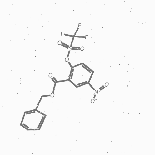 O=C(OCc1ccccc1)c1cc([N+](=O)[O-])ccc1OS(=O)(=O)C(F)(F)F